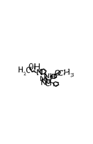 C=C(O)CCCN1CCCC(Nc2ncnc3oc(-c4ccccc4)c(-c4ccc(OC)cc4)c23)C1